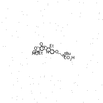 CCc1c2c(nc3ccc(OCCCN(C(=O)O)C(C)(C)C)cc13)-c1cc3c(c(=O)n1C2)COC(=O)[C@]3(O)CC